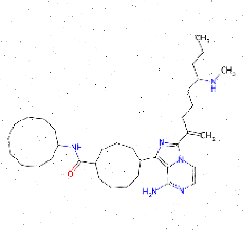 C=C(CCCC(CCC)NC)c1nc(C2CCCCC(C(=O)NC3CCCCCCCCC3)CCC2)c2c(N)nccn12